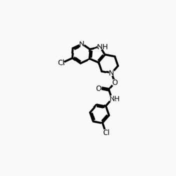 O=C(Nc1cccc(Cl)c1)ON1CCc2[nH]c3ncc(Cl)cc3c2C1